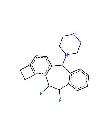 FC1c2ccccc2C(N2CCNCC2)c2ccc3c(c2C1F)CC3